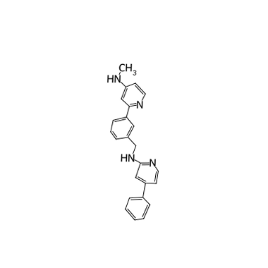 CNc1ccnc(-c2cccc(CNc3cc(-c4ccccc4)ccn3)c2)c1